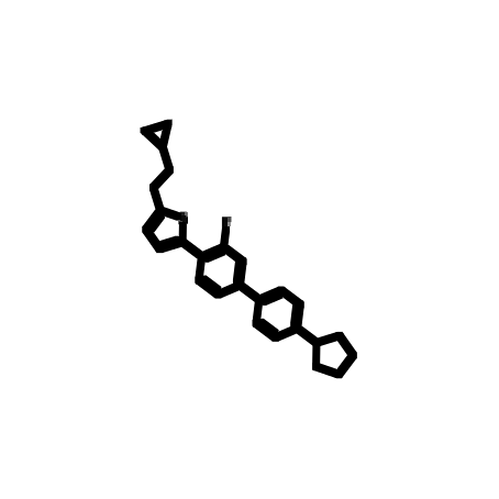 Fc1cc(-c2ccc(C3CCCC3)cc2)ccc1-c1ccc(CCC2CC2)s1